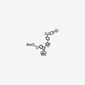 COCCOc1ccc2c(-c3cc(-c4ccc(C(=O)N5CCN(C6COC6)CC5)cc4)no3)cn(C(=O)OC(C)(C)C)c2c1